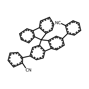 N#Cc1ccccc1-c1ccc2c(c1)C1(c3ccccc3-c3ccccc31)c1cc(-c3ccccc3C#N)ccc1-2